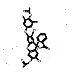 CC(=O)Oc1cc2c(cc1Cl)C1(OC(=O)c3ccccc31)c1cc(Cl)c(Oc3cc(I)c(OC(C)=O)c(I)c3)cc1O2